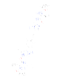 COC(=O)N[C@H](C(=O)N1C[C@@H](C)C[C@H]1c1ncc(C#Cc2ccc(-c3[nH]c([C@@H]4C[C@H](C)CN4C(=O)[C@@H](NC(=O)OC)C(C)C)nc3I)cc2)[nH]1)C(C)C